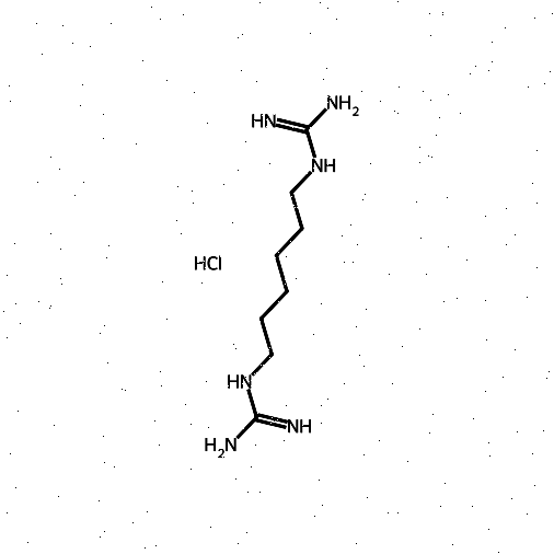 Cl.N=C(N)NCCCCCCNC(=N)N